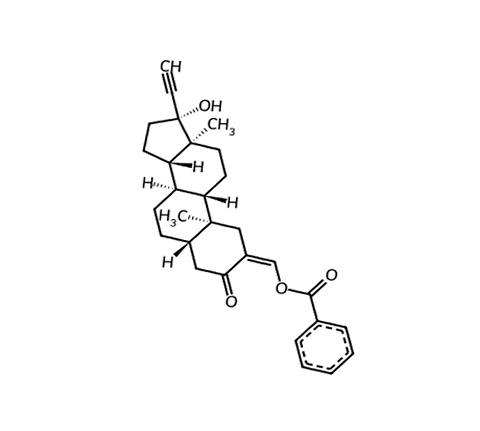 C#C[C@]1(O)CC[C@H]2[C@@H]3CC[C@H]4CC(=O)/C(=C\OC(=O)c5ccccc5)C[C@]4(C)[C@H]3CC[C@@]21C